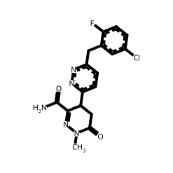 CN1N=C(C(N)=O)C(c2ccc(Cc3cc(Cl)ccc3F)nn2)CC1=O